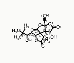 C#C[C@@]12OC(=O)[C@H](O)[C@]1(C)C1(CC(=O)O[C@H]1CC(O)C(C)(C)C)C(=O)O2